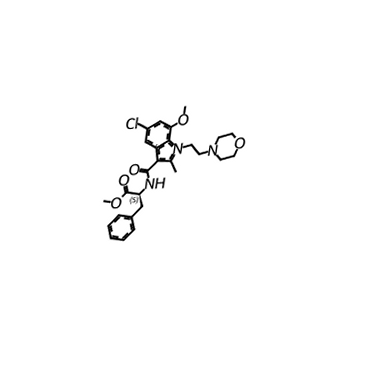 COC(=O)[C@H](Cc1ccccc1)NC(=O)c1c(C)n(CCN2CCOCC2)c2c(OC)cc(Cl)cc12